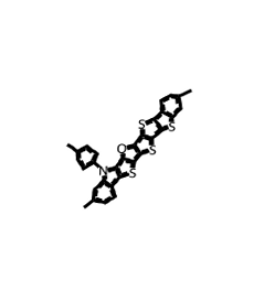 Cc1ccc(-n2c3cc(C)ccc3c3sc4c(oc5c4sc4c5sc5c6ccc(C)cc6sc54)c32)cc1